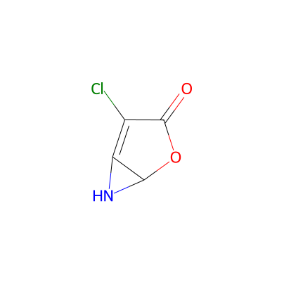 O=C1OC2NC2=C1Cl